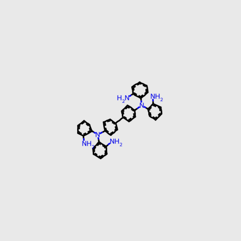 Nc1ccccc1N(c1ccc(-c2ccc(N(c3ccccc3N)c3ccccc3N)cc2)cc1)c1ccccc1N